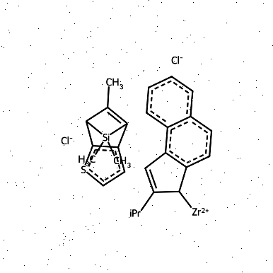 CC(C)C1=Cc2c(ccc3ccccc23)[CH]1[Zr+2].CC1=C2c3ccsc3C1[Si]2(C)C.[Cl-].[Cl-]